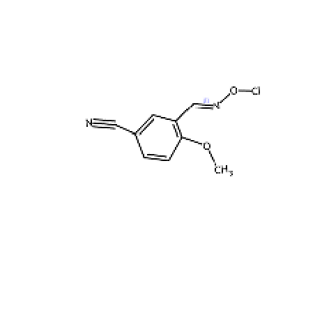 COc1ccc(C#N)cc1/C=N/OCl